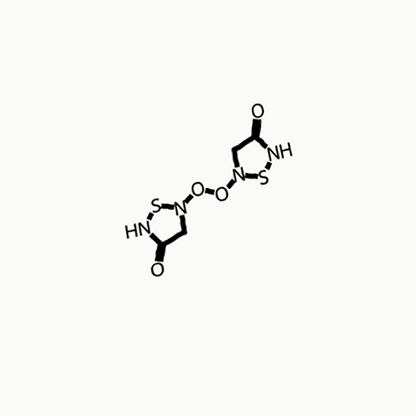 O=C1CN(OON2CC(=O)NS2)SN1